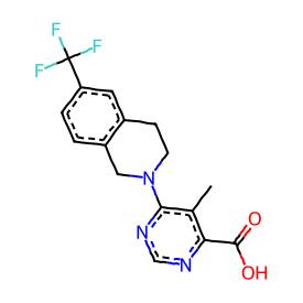 Cc1c(C(=O)O)ncnc1N1CCc2cc(C(F)(F)F)ccc2C1